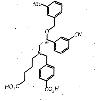 CC(C)(C)c1cccc(CO[C@@H](CN(CCCCC(=O)O)Cc2ccc(C(=O)O)cc2)c2cccc(C#N)c2)c1